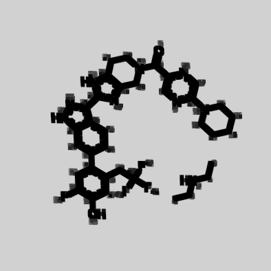 CCNCC.O=C(c1cnc(N2CCCCC2)cn1)N1CCc2[nH]c(-c3n[nH]c4cc(-c5cc(F)c(O)cc5CC(F)(F)F)ccc34)nc2C1